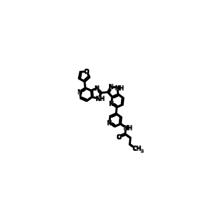 CCCC(=O)Nc1cncc(-c2ccc3[nH]nc(-c4nc5c(-c6ccoc6)nccc5[nH]4)c3n2)c1